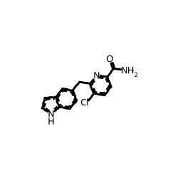 NC(=O)c1ccc(Cl)c(Cc2ccc3[nH]ccc3c2)n1